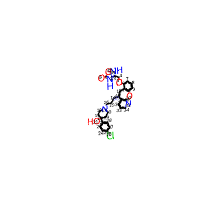 O=C1NC(COc2cccc3c2C/C(=C/CCN2CCC(O)(c4ccc(Cl)cc4)CC2)c2cccnc2O3)NO1